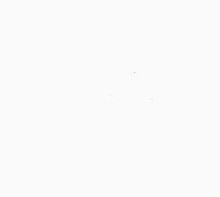 COC(=O)NCCC(NC(=O)OCC1c2ccccc2-c2ccccc21)C(=O)O